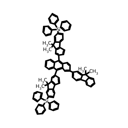 CC1(C)c2ccccc2-c2ccc(-c3ccc4c(-c5ccc6c(c5)C(C)(C)c5cc([Si](c7ccccc7)(c7ccccc7)c7ccccc7)ccc5-6)c5ccccc5c(-c5ccc6c(c5)C(C)(C)c5cc([Si](c7ccccc7)(c7ccccc7)c7ccccc7)ccc5-6)c4c3)cc21